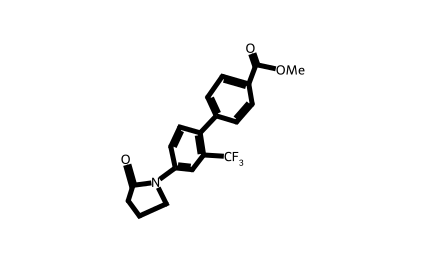 COC(=O)c1ccc(-c2ccc(N3CCCC3=O)cc2C(F)(F)F)cc1